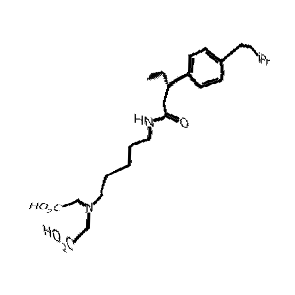 CC(C)Cc1ccc([C@H](C)C(=O)NCCCCCN(CC(=O)O)CC(=O)O)cc1